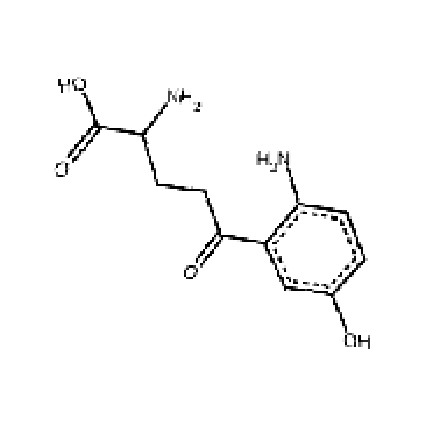 Nc1ccc(O)cc1C(=O)CCC(N)C(=O)O